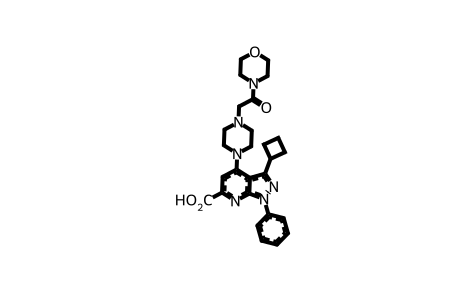 O=C(O)c1cc(N2CCN(CC(=O)N3CCOCC3)CC2)c2c(C3CCC3)nn(-c3ccccc3)c2n1